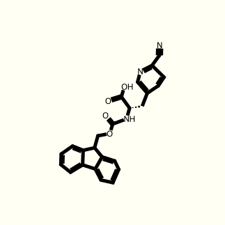 N#Cc1ccc(C[C@H](NC(=O)OCC2c3ccccc3-c3ccccc32)C(=O)O)cn1